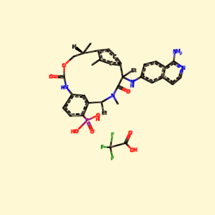 CCC1c2cc(ccc2P(=O)(O)O)NC(=O)OC[C@H](C)c2ccc(cc2C)C(CC)(Nc2ccc3c(N)nccc3c2)C(=O)N1C.O=C(O)C(F)(F)F